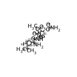 COC(=O)C1=C(COC(N)=O)CS[C@H]2C(NC(=O)C(N)c3ccc(I)c(C(C)C)c3)C(=O)N12